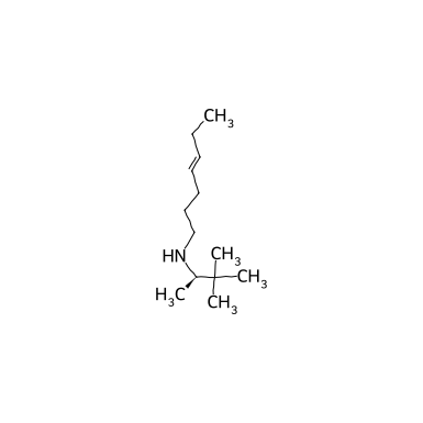 CC/C=C/CCCN[C@H](C)C(C)(C)C